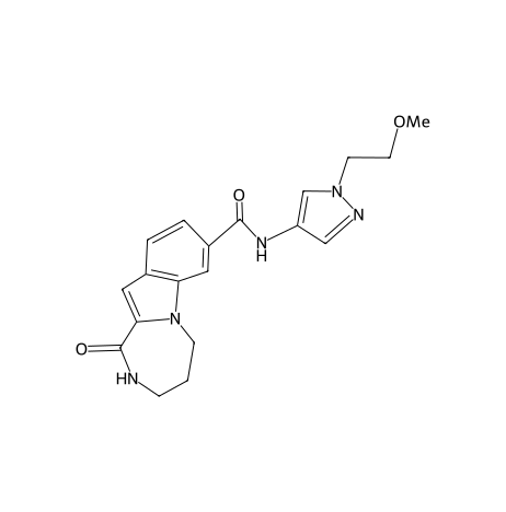 COCCn1cc(NC(=O)c2ccc3cc4n(c3c2)CCCNC4=O)cn1